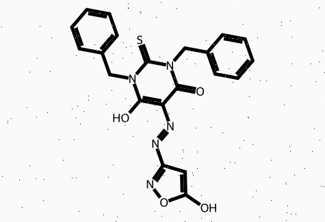 O=c1c(N=Nc2cc(O)on2)c(O)n(Cc2ccccc2)c(=S)n1Cc1ccccc1